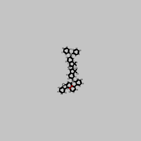 CC1(C)c2cc(N(c3ccccc3)c3ccccc3)ccc2-c2sc3c(c21)C(C)(C)c1cc(N(c2ccc4c(c2)oc2ccccc24)c2ccccc2-c2ccccc2)ccc1-3